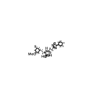 COc1cc(F)cc(CC[C@H](NC(=O)CCc2noc(-c3ccccc3)n2)B(O)O)c1